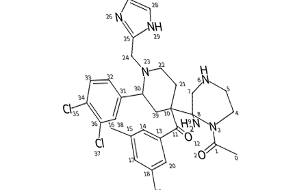 CC(=O)N1CCNCC1(N)C1(C(=O)c2cc(C)cc(C)c2)CCN(Cc2ncc[nH]2)C(c2ccc(Cl)c(Cl)c2)C1